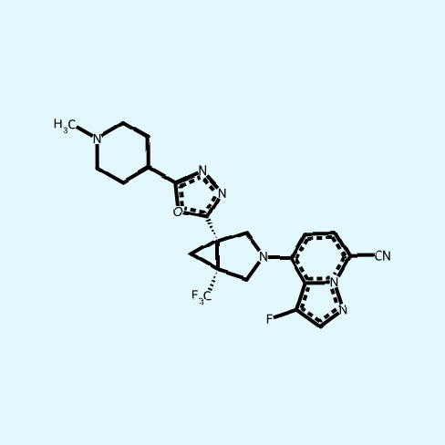 CN1CCC(c2nnc([C@]34CN(c5ccc(C#N)n6ncc(F)c56)C[C@@]3(C(F)(F)F)C4)o2)CC1